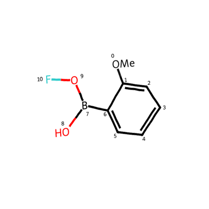 COc1ccccc1B(O)OF